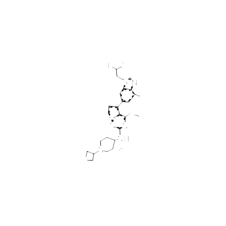 COc1nc(N[C@@H]2CCN(C3COC3)C[C@H]2F)nn2ccc(-c3cc(F)c4ncn(CC(F)F)c4c3)c12